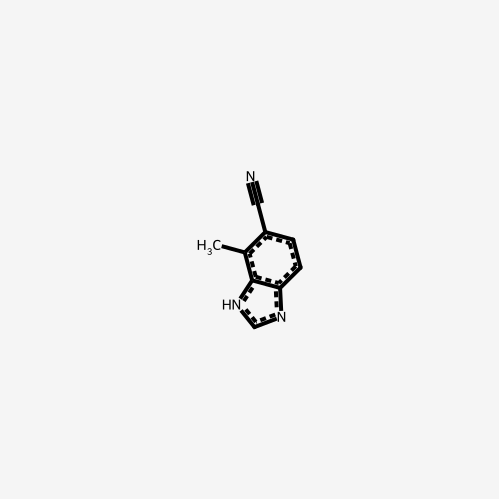 Cc1c(C#N)ccc2nc[nH]c12